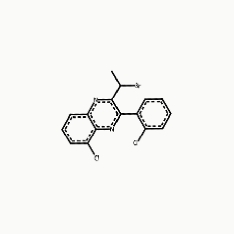 CC(Br)c1nc2cccc(Cl)c2nc1-c1ccccc1Cl